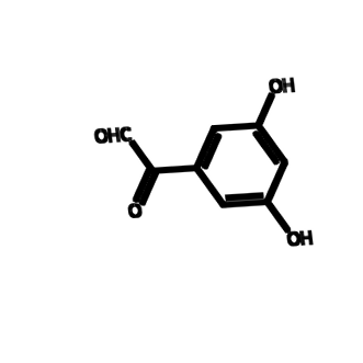 O=CC(=O)c1cc(O)cc(O)c1